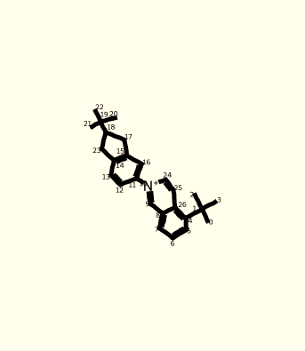 CC(C)(C)c1cccc2c[n+](-c3ccc4c(c3)CC(C(C)(C)C)C4)ccc12